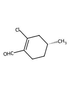 C[C@@H]1CCC(C=O)=C(Cl)C1